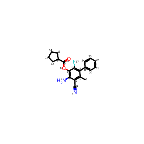 Cc1c(C#N)c(N)c(OC(=O)C2CCCC2)c(F)c1-c1ccccc1